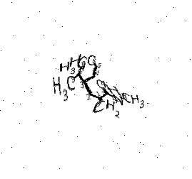 C=C(/C=C(\C=C/C)C(C)C)C(=O)NC